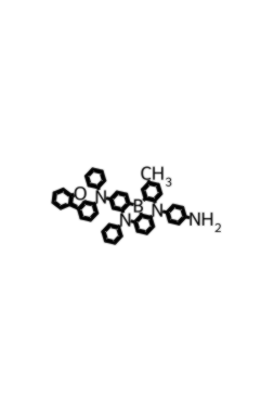 Cc1ccc2c(c1)B1c3ccc(N(c4ccccc4)c4cccc5c4oc4ccccc45)cc3N(c3ccccc3)c3cccc(c31)N2c1ccc(N)cc1